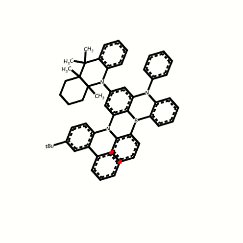 CC(C)(C)c1ccc(N2c3ccccc3B3c4ccccc4N(c4ccccc4)c4cc(N5c6ccccc6C(C)(C)C6(C)CCCCC56C)cc2c43)c(-c2ccccc2)c1